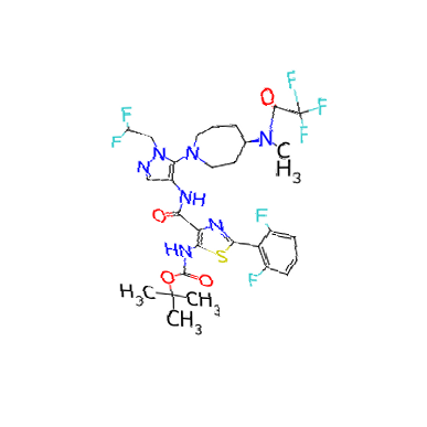 CN(C(=O)C(F)(F)F)[C@@H]1CCCN(c2c(NC(=O)c3nc(-c4c(F)cccc4F)sc3NC(=O)OC(C)(C)C)cnn2CC(F)F)CC1